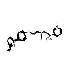 Cc1nc(-c2ccc(OCCNC[C@H](O)c3cccnc3)cc2)cs1